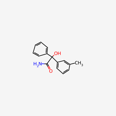 Cc1cccc(C(O)(C(N)=O)c2ccccc2)c1